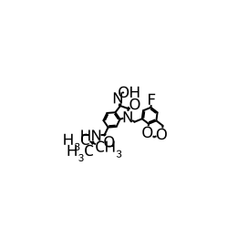 CC(C)(C)NC(=O)c1ccc2c(c1)N(Cc1cc(F)cc3c1OCOC3)C(=O)/C2=N\O